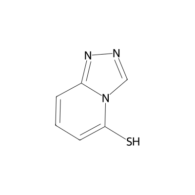 Sc1cccc2nncn12